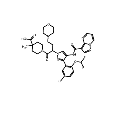 CC1(C(=O)O)CCN(C(=O)C(CCN2CCOCC2)n2cc(NC(=O)c3cnn4cccnc34)c(-c3cc(Cl)ccc3OC(F)F)n2)CC1